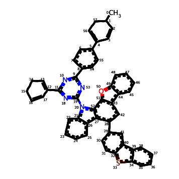 CC1C=CC(c2ccc(-c3nc(C4=CCCC=C4)nc(-n4c5ccccc5c5c(-c6ccc7sc8ccccc8c7c6)cc6c7ccccc7oc6c54)n3)cc2)=CC1